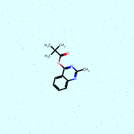 Cc1nc(OC(=O)C(C)(C)C)c2ccccc2n1